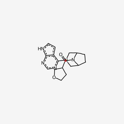 O=C(C1CCOC1)N1C2CCC1CN(c1ncnc3[nH]ccc13)C2